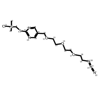 C[Si](C)(Cl)CSc1ncc(COCCOCCOCCN=[N+]=[N-])cn1